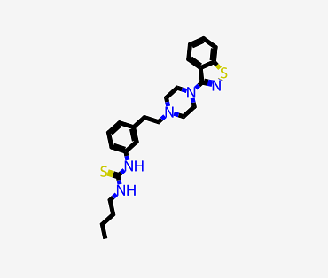 CCCCNC(=S)Nc1cccc(CCN2CCN(c3nsc4ccccc34)CC2)c1